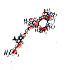 CC[C@H]1OC(=O)[C@H](C)[C@@H](O[C@H]2C[C@@](C)(OC)[C@@H](OC(=O)CCOCCOc3cc4c(=O)c(C(=O)OCOC(=O)C(C)(C)C)cn(C5CC5)c4cc3Cl)[C@H](C)O2)[C@H](C)[C@@H](O[C@@H]2O[C@H](C)C[C@H](N(C)C)[C@H]2O)[C@](C)(O)C[C@@H](C)CN(C)[C@H](C)[C@@H](O)[C@]1(C)O